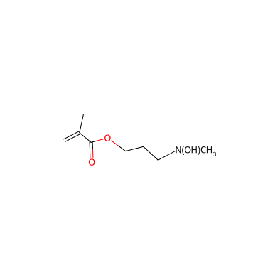 C=C(C)C(=O)OCCCN(C)O